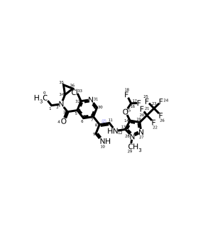 CCN(C(=O)c1cc(/C(C=N)=C/Nc2c(OC(F)F)c(C(F)(F)C(F)(F)F)nn2C)cnc1Cl)C1CC1